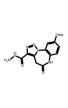 COc1ccc2c(c1)-n1nnc(C(=O)NN)c1CC(=O)N2